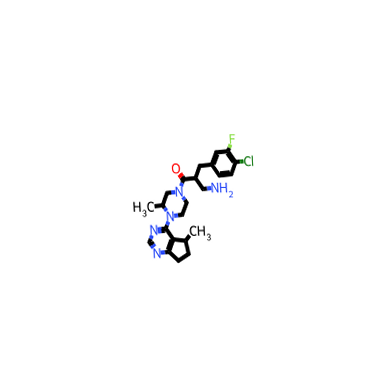 CC1CCc2ncnc(N3CCN(C(=O)C(CN)Cc4ccc(Cl)c(F)c4)CC3C)c21